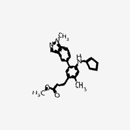 COC(=O)CCc1cc(-c2ccc3c(cnn3C)c2)c(NC2CCCC2)cc1C